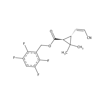 CC1(C)[C@@H](/C=C\C#N)[C@@H]1C(=O)OCc1c(F)c(F)cc(F)c1F